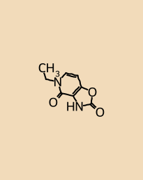 CCn1ccc2oc(=O)[nH]c2c1=O